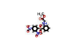 COC(=O)CNc1ccccc1S(=O)(=O)c1ccc([N+](=O)[O-])cc1[N+](=O)[O-]